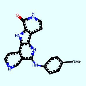 COc1ccc(Nc2nc3c4cc[nH]c(=O)c4[nH]c3c3ccncc23)cc1